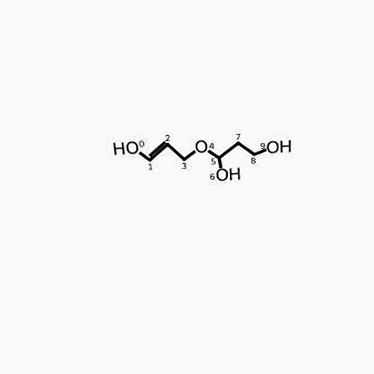 OC=CCOC(O)CCO